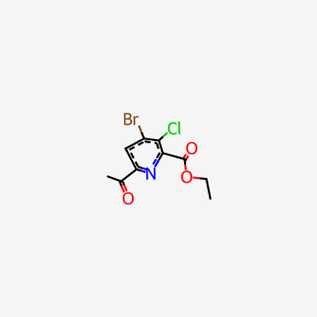 CCOC(=O)c1nc(C(C)=O)cc(Br)c1Cl